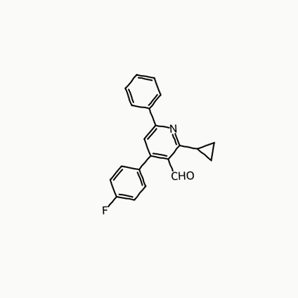 O=Cc1c(-c2ccc(F)cc2)cc(-c2ccccc2)nc1C1CC1